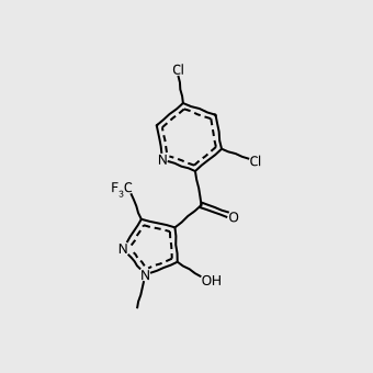 Cn1nc(C(F)(F)F)c(C(=O)c2ncc(Cl)cc2Cl)c1O